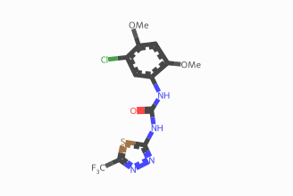 COc1cc(OC)c(NC(=O)Nc2nnc(C(F)(F)F)s2)cc1Cl